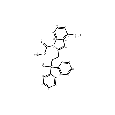 CC(C)(C)OC(=O)n1c(CO[Si](c2ccccc2)(c2ccccc2)C(C)(C)C)cc2c(C(=O)O)cccc21